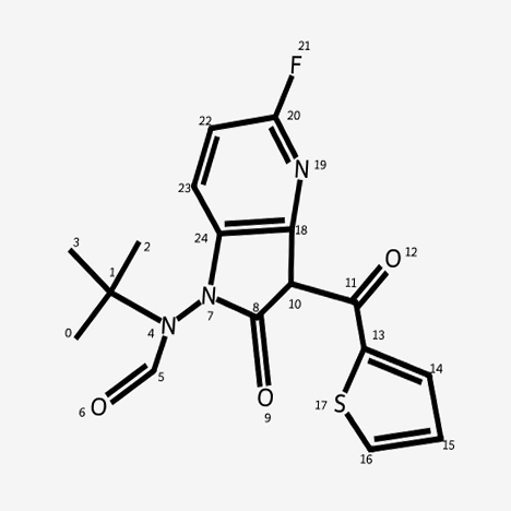 CC(C)(C)N(C=O)N1C(=O)C(C(=O)c2cccs2)c2nc(F)ccc21